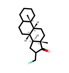 C[C@]12CCCCC1CC[C@@H]1[C@H]2CC[C@]2(C)C(=O)C(CF)C[C@@H]12